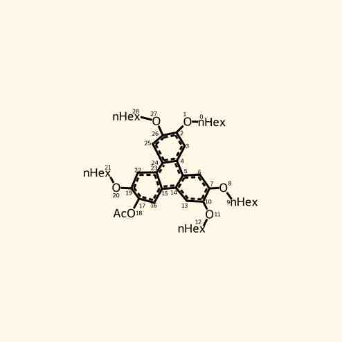 CCCCCCOc1cc2c3cc(OCCCCCC)c(OCCCCCC)cc3c3cc(OC(C)=O)c(OCCCCCC)cc3c2cc1OCCCCCC